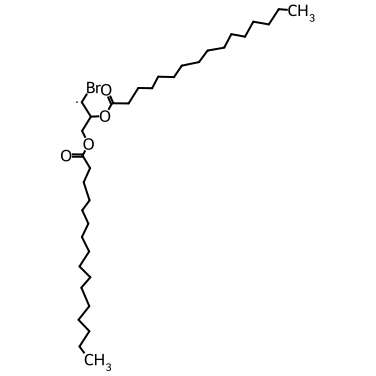 CCCCCCCCCCCCCCCC(=O)OCC([CH]Br)OC(=O)CCCCCCCCCCCCCCC